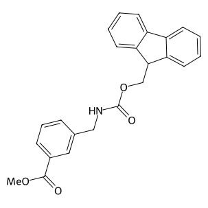 COC(=O)c1cccc(CNC(=O)OCC2c3ccccc3-c3ccccc32)c1